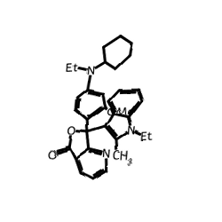 CCN(c1ccc(C2(c3c(C)n(CC)c4ccccc34)OC(=O)c3cccnc32)c(OC)c1)C1CCCCC1